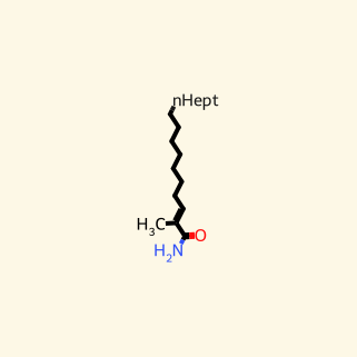 CCCCCCCCCCCCCC/C=C(\C)C(N)=O